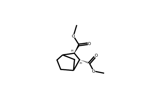 COC(=O)[C@@H]1C2CCC(C2)[C@H]1C(=O)OC